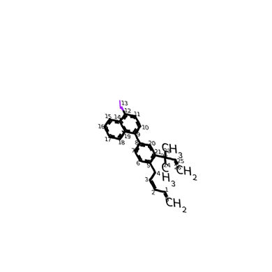 C=C/C=C\Cc1ccc(-c2ccc(I)c3ccccc23)cc1C(C)(C)C=C